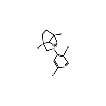 NC1[C@@H]2CC[C@H]1CN(c1cc(Cl)ncc1F)C2